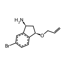 C=CCO[C@@H]1C[C@H](N)c2cc(Br)ccc21